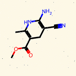 COC(=O)C1=C(C)NC(N)=C(C#N)C1